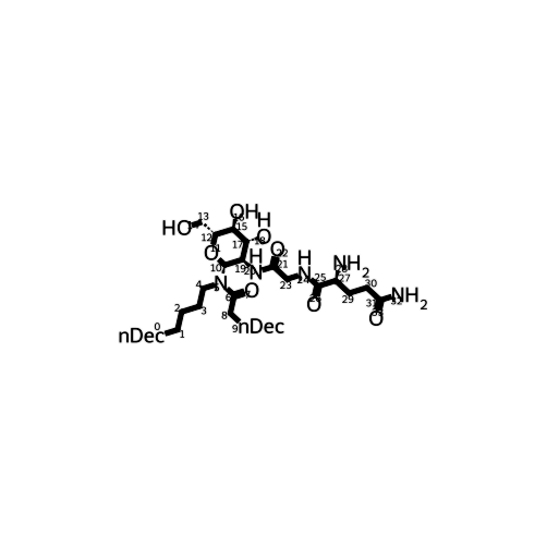 CCCCCCCCCCCCCCN(C(=O)CCCCCCCCCCC)[C@@H]1O[C@H](CO)[C@@H](O)[C@H](O)[C@H]1NC(=O)CNC(=O)[C@@H](N)CCC(N)=O